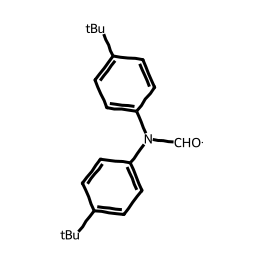 CC(C)(C)c1ccc(N([C]=O)c2ccc(C(C)(C)C)cc2)cc1